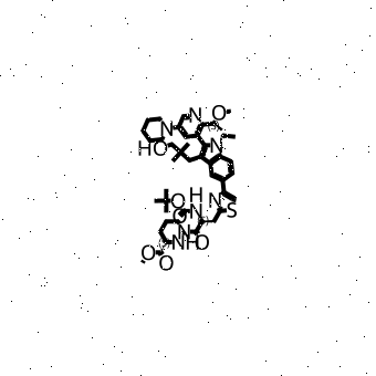 CCn1c(-c2cc(N3CCCCC3)cnc2[C@H](C)OC)c(CC(C)(C)CO)c2cc(-c3csc(C[C@H](NC(=O)OC(C)(C)C)C(=O)N4CCC[C@@H](C(=O)OC)N4)n3)ccc21